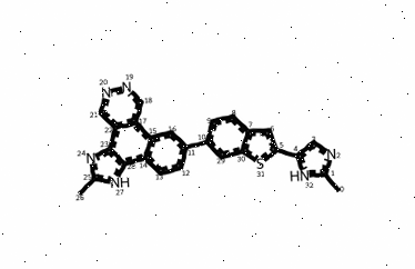 Cc1ncc(-c2cc3ccc(-c4ccc5c(c4)c4cnncc4c4nc(C)[nH]c54)cc3s2)[nH]1